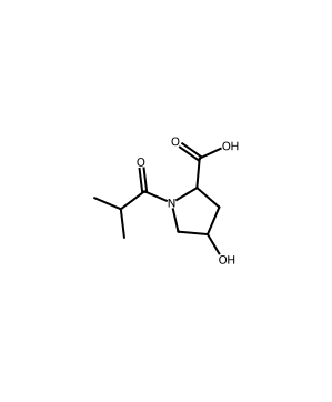 CC(C)C(=O)N1CC(O)CC1C(=O)O